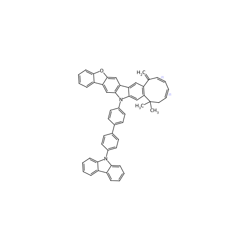 C=C1/C=C\C=C/CC(C)(C)c2cc3c(cc21)c1cc2oc4ccccc4c2cc1n3-c1ccc(-c2ccc(-n3c4ccccc4c4ccccc43)cc2)cc1